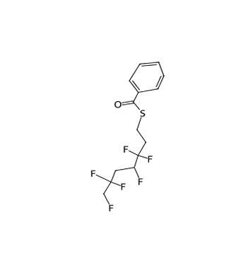 O=C(SCCC(F)(F)C(F)CC(F)(F)CF)c1ccccc1